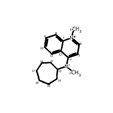 CN(c1cc[n+](C)c2ccccc12)C1CCCCCC1